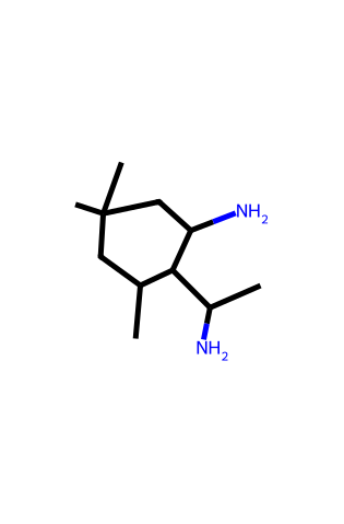 CC(N)C1C(C)CC(C)(C)CC1N